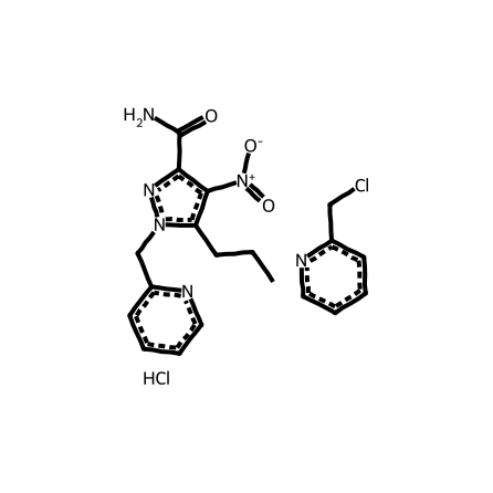 CCCc1c([N+](=O)[O-])c(C(N)=O)nn1Cc1ccccn1.Cl.ClCc1ccccn1